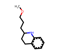 COCCCC1CCc2c[c]ccc2N1